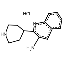 Cl.Nc1cc2ccccc2nc1C1CCNCC1